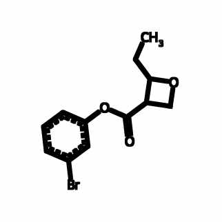 CCC1OCC1C(=O)Oc1cccc(Br)c1